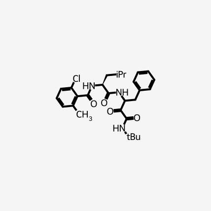 Cc1cccc(Cl)c1C(=O)N[C@@H](CC(C)C)C(=O)NC(Cc1ccccc1)C(=O)C(=O)NC(C)(C)C